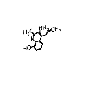 C=CCc1c(N)c(C)nc2c(O)cccc12